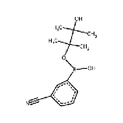 CC(C)(O)C(C)(C)OB(O)c1cccc(C#N)c1